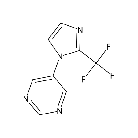 FC(F)(F)c1nccn1-c1cncnc1